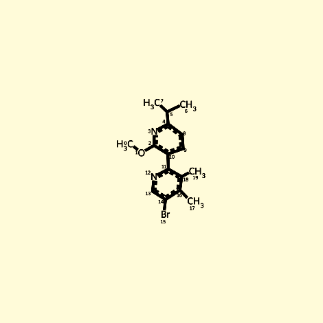 COc1nc(C(C)C)ccc1-c1ncc(Br)c(C)c1C